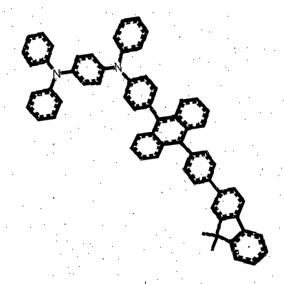 CC1(C)c2ccccc2-c2ccc(-c3ccc(-c4c5ccccc5c(-c5ccc(N(c6ccccc6)c6ccc(N(c7ccccc7)c7ccccc7)cc6)cc5)c5ccccc45)cc3)cc21